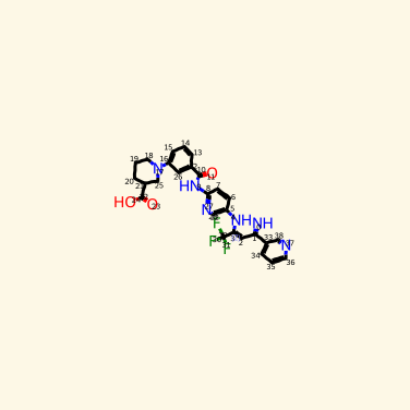 N=C(/C=C(\Nc1ccc(NC(=O)c2cccc(N3CCCC(C(=O)O)C3)c2)nc1)C(F)(F)F)c1cccnc1